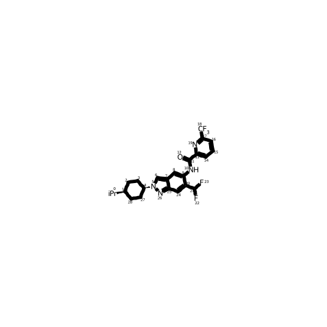 CC(C)[C@H]1CC[C@H](n2cc3cc(NC(=O)c4cccc(C(F)(F)F)n4)c(C(F)F)cc3n2)CC1